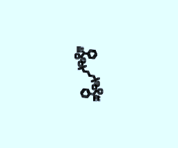 CCC(C(=O)OOC(C)(C)CCCCC(C)(C)OOC(=O)C(CC)c1ccccc1)c1ccccc1